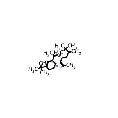 C=C(CC/C(=C\C)[C@@H]1CCC(C(C)(C)C)=CC1C(C)=O)C(C)(C)C